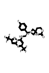 O=C1NC2(CCO1)CN([C@@H](CNc1cc(C(F)(F)F)nc3cc(C(F)(F)F)nn13)c1ccc(F)cc1)C2